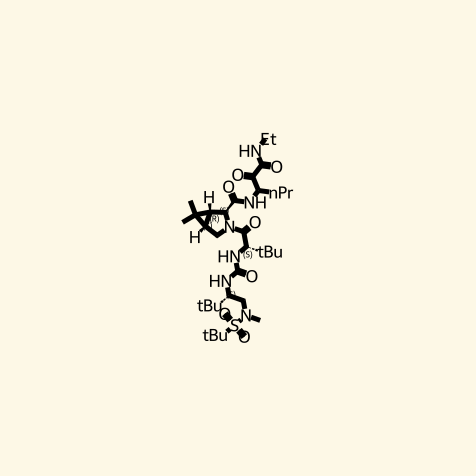 CCCC(NC(=O)[C@@H]1[C@@H]2[C@H](CN1C(=O)[C@@H](NC(=O)N[C@H](CN(C)S(=O)(=O)C(C)(C)C)C(C)(C)C)C(C)(C)C)C2(C)C)C(=O)C(=O)NCC